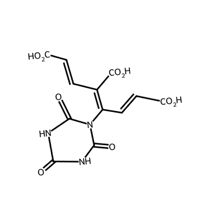 O=C(O)C=CC(C(=O)O)=C(C=CC(=O)O)n1c(=O)[nH]c(=O)[nH]c1=O